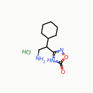 Cl.NCC(c1noc(=O)[nH]1)C1CCCCC1